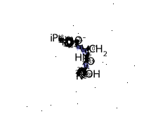 C=C/C(=C\C=C\[S+]([O-])C1CCN(CC(C)C)CC1)CNC(=O)/C=C/c1ccncc1O